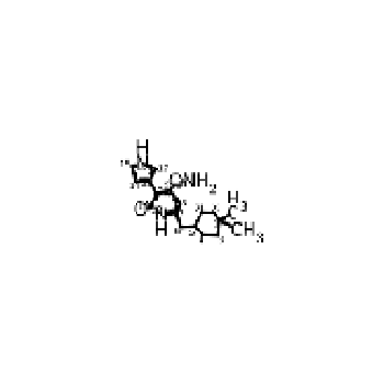 CC1(C)CCC(Cc2cc(ON)c(-c3cc[nH]c3)c(=O)[nH]2)CC1